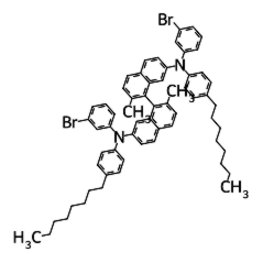 CCCCCCCCc1ccc(N(c2cccc(Br)c2)c2ccc3ccc(C)c(-c4c(C)ccc5ccc(N(c6ccc(CCCCCCCC)cc6)c6cccc(Br)c6)cc45)c3c2)cc1